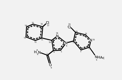 CC(=O)Nc1cc(-n2cc(C(N)=O)c(-c3ccccc3Cl)n2)c(Cl)cn1